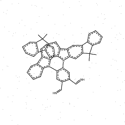 CC1(C)c2ccccc2-c2cc3c(cc21)c1cc2c(cc1n3-c1cc(C=N)c(C=N)cc1-n1c3ccccc3c3ccccc31)C(C)(C)c1ccccc1-2